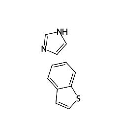 c1c[nH]cn1.c1ccc2sccc2c1